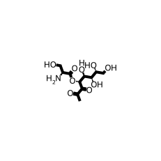 CC(=O)C(=O)[C@H](OC(=O)[C@@H](N)CO)[C@@H](O)[C@@H](O)[C@H](O)CO